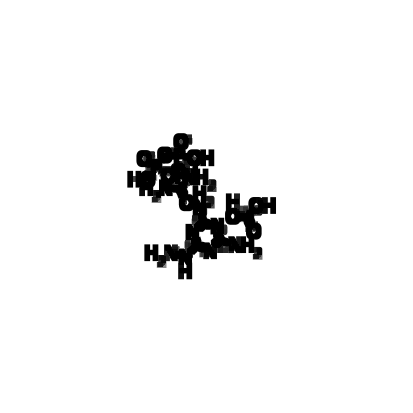 NC(N)=O.NNc1nc(N)nc(N)n1.O=C(O)O.O=P(O)(O)OP(=O)(O)O